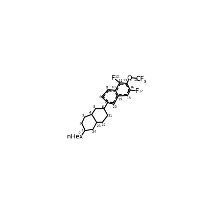 CCCCCCC1CCC2CC(c3ccc4c(F)c(OC(F)(F)F)c(F)cc4c3)CCC2C1